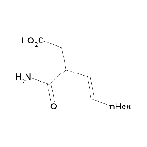 CCCCCCC=CC(CC(=O)O)C(N)=O